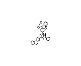 c1ccc(-c2nc(-c3ccc4c(c3)Sc3ccccc3C43c4ccccc4-c4ccccc43)nc(-c3ccc4c(ccc5ccccc54)c3)n2)cc1